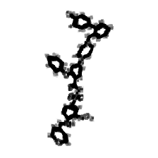 O=C(NS(=O)(=O)c1ccc(NCC2=CCOC=C2)c([N+](=O)[O-])c1)c1ccc(N2CCN(Cc3ccccc3-c3ccc(Cl)cc3)CC2)cc1Oc1ccccc1